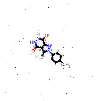 Cc1ccc(-n2nc3c(=O)[nH][nH]c(=O)c3c2C)cc1